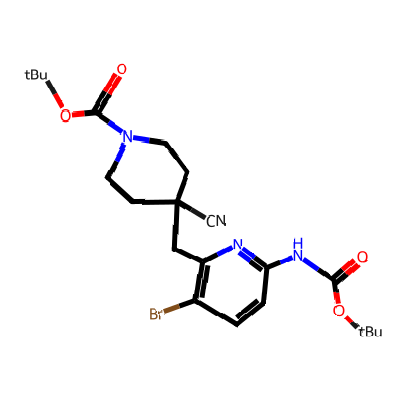 CC(C)(C)OC(=O)Nc1ccc(Br)c(CC2(C#N)CCN(C(=O)OC(C)(C)C)CC2)n1